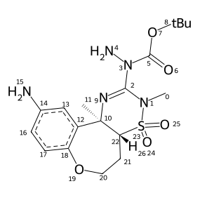 CN1C(N(N)C(=O)OC(C)(C)C)=N[C@]2(C)c3cc(N)ccc3OCC[C@H]2S1(=O)=O